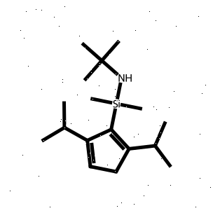 CC(C)C1=CCC(C(C)C)=C1[Si](C)(C)NC(C)(C)C